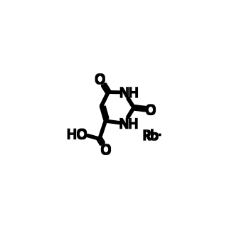 O=C(O)c1cc(=O)[nH]c(=O)[nH]1.[Rb]